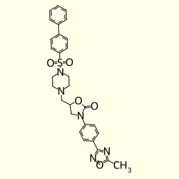 Cc1nc(-c2ccc(N3CC(CN4CCN(S(=O)(=O)c5ccc(-c6ccccc6)cc5)CC4)OC3=O)cc2)no1